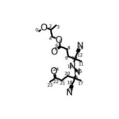 COC(C)COC(=O)CCC(C)(C#N)N=NC(C)(C#N)CCC(C)=O